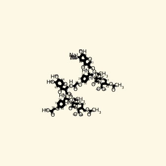 CO[C@@]1(NC(=O)C(NC(=O)c2coc3cc(O)c(O)cc3c2=O)c2ccc(OCC(=O)O)cc2)C(=O)N2C(C(=O)[O-])=C(COC(C)=O)CS[C@@H]21.CO[C@@]1(NC(=O)C(NC(=O)c2coc3cc(O)c(O)cc3c2=O)c2ccc(OCC(=O)O)cc2)C(=O)N2C(C(=O)[O-])=C(COC(C)=O)CS[C@@H]21.[Na+].[Na+]